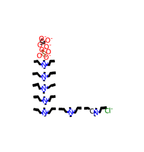 C=CC[N+](C)(C)CC=C.C=CC[N+](C)(C)CC=C.C=CC[N+](C)(C)CC=C.C=CC[N+](C)(C)CC=C.C=CC[N+](C)(C)CC=C.C=CC[N+](C)(C)CC=C.C=CC[N+](C)(C)CC=C.O=S(=O)([O-])[O-].[Cl-].[O-][Si]([O-])([O-])[O-]